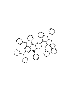 c1ccc(N(c2ccccc2)c2cc3c4c(c2)N(c2ccccc2)c2cc5c(cc2B4c2ccccc2N3c2ccccc2)B2c3ccccc3N(c3ccccc3)c3cc4oc6ccccc6c4c(c32)N5c2ccccc2)cc1